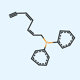 C#C/C=C\C=C/CP(c1ccccc1)c1ccccc1